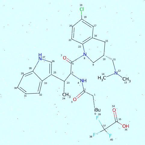 CCC(C)CC(=O)NC(C(=O)N1C[C@@H](CN(C)C)Cc2cc(Cl)ccc21)C(C)c1c[nH]c2ccccc12.O=C(O)C(F)(F)F